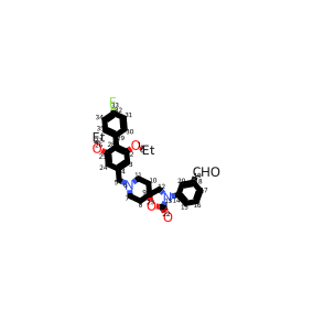 CCOc1cc(CN2CCC3(CC2)CN(c2cccc(C=O)c2)C(=O)O3)cc(OCC)c1-c1ccc(F)cc1